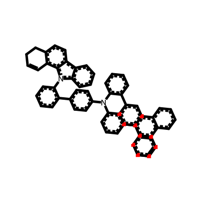 C1=CCCC(c2ccc(-c3ccccc3N(c3ccc(-c4ccccc4-n4c5ccccc5c5ccc6c(c54)C=CCC6)cc3)c3cccc(-c4cc5ccccc5c5ccccc45)c3)cc2)=C1